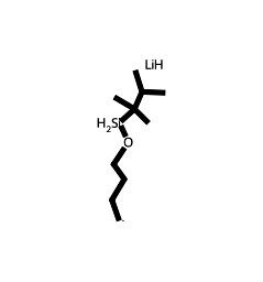 [CH2]CCCO[SiH2]C(C)(C)C(C)C.[LiH]